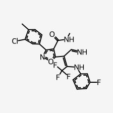 CNC(=O)c1c(-c2ccc(C)c(Cl)c2)noc1/C(C=N)=C(/Nc1cccc(F)c1)C(F)(F)F